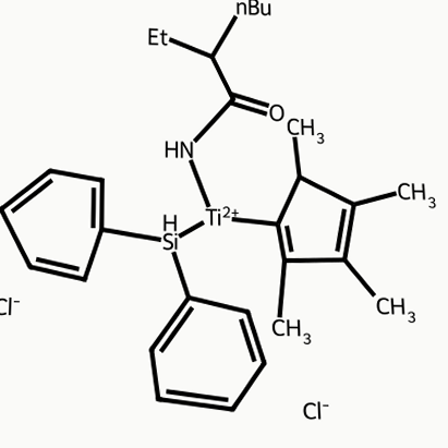 CCCCC(CC)C(=O)[NH][Ti+2]([C]1=C(C)C(C)=C(C)C1C)[SiH](c1ccccc1)c1ccccc1.[Cl-].[Cl-]